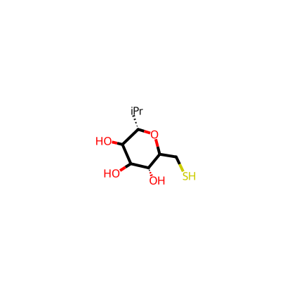 CC(C)[C@@H]1OC(CS)[C@H](O)C(O)C1O